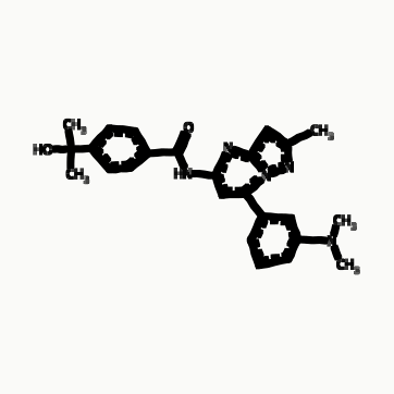 Cc1cc2nc(NC(=O)c3ccc(C(C)(C)O)cc3)cc(-c3cccc(N(C)C)c3)n2n1